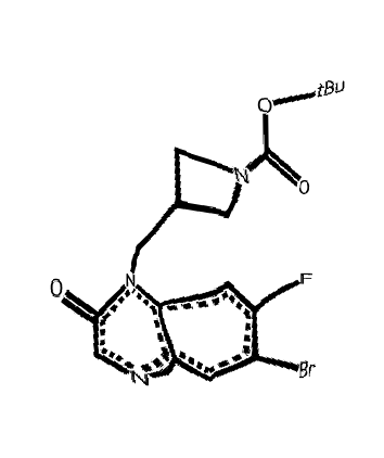 CC(C)(C)OC(=O)N1CC(Cn2c(=O)cnc3cc(Br)c(F)cc32)C1